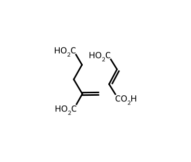 C=C(CCC(=O)O)C(=O)O.O=C(O)/C=C/C(=O)O